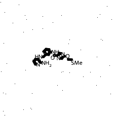 CSCCOc1cnc(C(=O)Nc2cccc(CNc3cccnc3N)c2)cn1